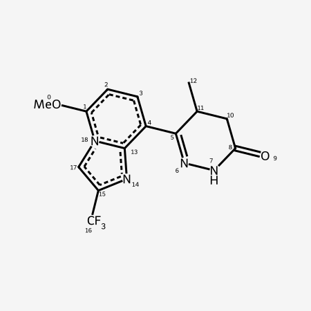 COc1ccc(C2=NNC(=O)CC2C)c2nc(C(F)(F)F)cn12